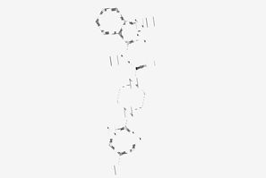 O=C(Nc1n[nH]c2ccccc12)N1CCN(c2ncc(F)cn2)CC1